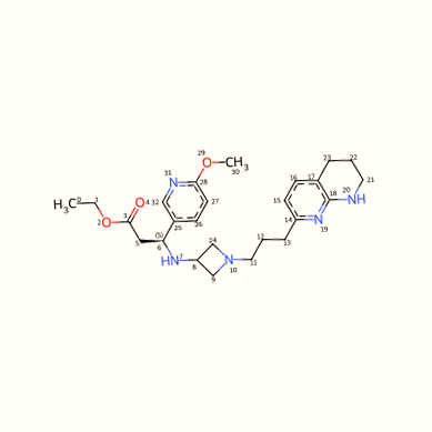 CCOC(=O)C[C@H](NC1CN(CCCc2ccc3c(n2)NCCC3)C1)c1ccc(OC)nc1